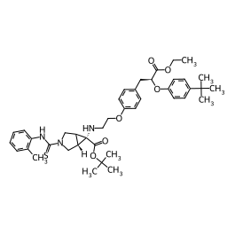 CCOC(=O)[C@H](Cc1ccc(OCCN[C@@]2(C(=O)OC(C)(C)C)C3CN(C(=S)Nc4ccccc4C)C[C@H]32)cc1)Oc1ccc(C(C)(C)C)cc1